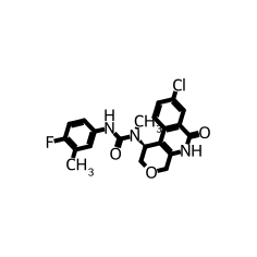 Cc1cc(NC(=O)N(C)[C@@H]2COCc3[nH]c(=O)c4cc(Cl)ccc4c32)ccc1F